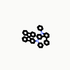 c1ccc(-c2cccc3c2c2cc(N(c4ccccc4)c4ccc5c(c4)C4(c6ccccc6-c6ccccc64)c4ccccc4-5)ccc2n3-c2ccccc2)cc1